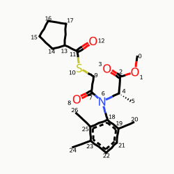 COC(=O)[C@H](C)N(C(=O)CSC(=O)C1CCCC1)c1c(C)ccc(C)c1C